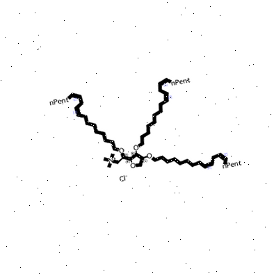 CCCCC/C=C\C/C=C\CCCCCCCCO[C@H]1[C@@H]([C@@H](C[N+](C)(C)C)OCCCCCCCC/C=C\C/C=C\CCCCC)OC[C@@H]1OCCCCCCCC/C=C\C/C=C\CCCCC.[Cl-]